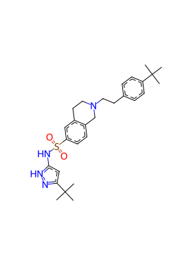 CC(C)(C)c1ccc(CCN2CCc3cc(S(=O)(=O)Nc4cc(C(C)(C)C)n[nH]4)ccc3C2)cc1